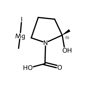 C[C@]1(O)CCCN1C(=O)O.[CH3][Mg][I]